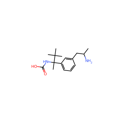 CC(N)Cc1cccc(C(C)(NC(=O)O)C(C)(C)C)c1